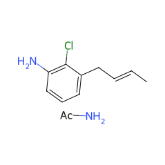 CC(N)=O.CC=CCc1cccc(N)c1Cl